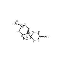 CCCC[C@H]1CC[C@@](C#N)(C2=CC[C@H](CCC)CC2)CC1